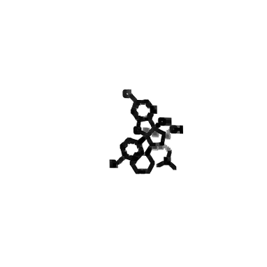 CN(C)C[C@H]1[C@@H](O)[C@@]2(O)c3ncc(Cl)cc3O[C@@]2(c2ccc(Br)cc2)[C@@H]1C1C=CC=CC1